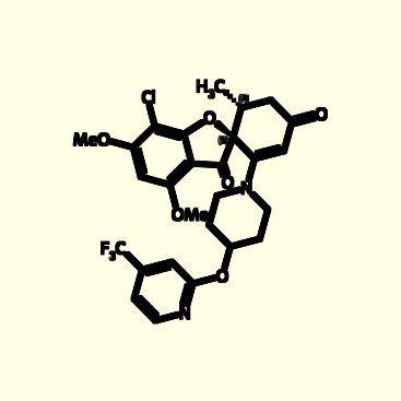 COc1cc(OC)c2c(c1Cl)O[C@]1(C2=O)C(N2CCC(Oc3cc(C(F)(F)F)ccn3)CC2)=CC(=O)C[C@H]1C